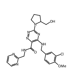 COc1ccc(CNc2nc(N3CCCC3CO)nnc2C(=O)NCc2ncccn2)cc1Cl